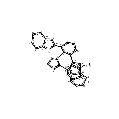 Cc1ccc(-c2nccn2-c2c(-c3cc4ccccc4s3)cccc2-c2cc3ccccc3s2)cc1C